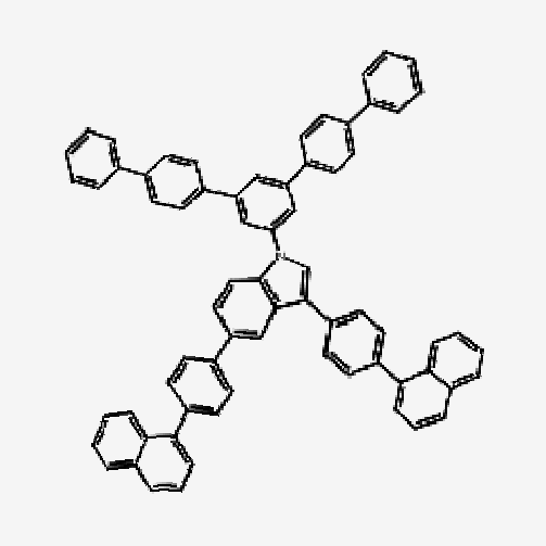 c1ccc(-c2ccc(-c3cc(-c4ccc(-c5ccccc5)cc4)cc(-n4cc(-c5ccc(-c6cccc7ccccc67)cc5)c5cc(-c6ccc(-c7cccc8ccccc78)cc6)ccc54)c3)cc2)cc1